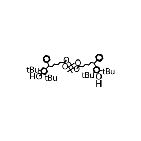 CC(C)(C)c1cc(C(CCCCC(=O)OC2C(C)(C)C(OC(=O)CCCCC(c3ccccc3)c3cc(C(C)(C)C)c(O)c(C(C)(C)C)c3)C2(C)C)c2ccccc2)cc(C(C)(C)C)c1O